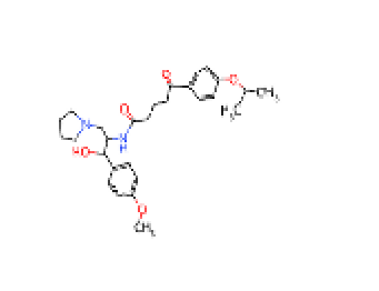 COc1ccc(C(O)C(CN2CCCC2)NC(=O)CCCC(=O)c2ccc(OC(C)C)cc2)cc1